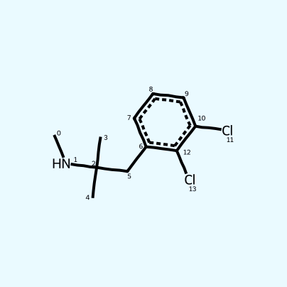 CNC(C)(C)Cc1cccc(Cl)c1Cl